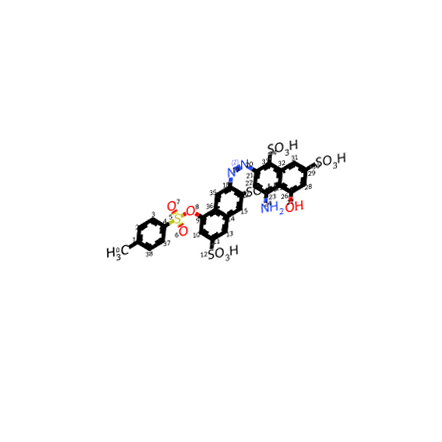 Cc1ccc(S(=O)(=O)Oc2cc(S(=O)(=O)O)cc3cc(S(=O)(=O)O)c(/N=N\c4cc(N)c5c(O)cc(S(=O)(=O)O)cc5c4S(=O)(=O)O)cc23)cc1